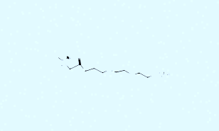 COCCOCCOCCCC(=O)CS(=O)(=O)C(C)C